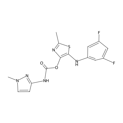 Cc1nc(OC(=O)Nc2ccn(C)n2)c(Nc2cc(F)cc(F)c2)s1